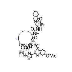 COc1ccc2c(O[C@@H]3C[C@H]4C(=O)N[C@]5(C(=O)O)CC5/C=C\CCCCC[C@H](NC(=O)N[C@H](CN5Cc6ccccc6S5(=O)=O)C(C)C)C(=O)N4C3)cc(-c3csc(NC(C)C)n3)nc2c1